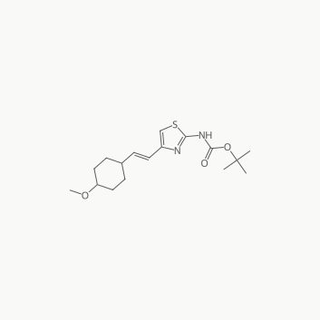 COC1CCC(C=Cc2csc(NC(=O)OC(C)(C)C)n2)CC1